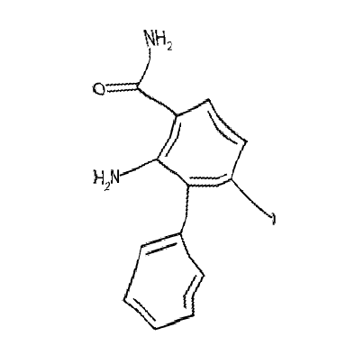 NC(=O)c1ccc(I)c(-c2ccccc2)c1N